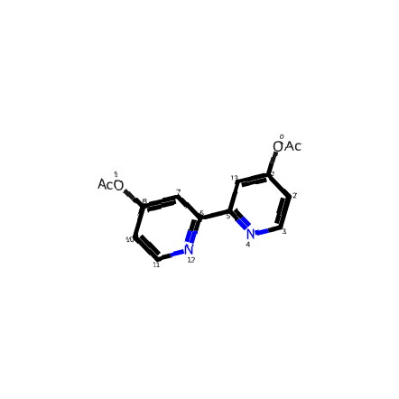 CC(=O)Oc1ccnc(-c2cc(OC(C)=O)ccn2)c1